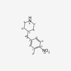 Cc1cc(SC2CCNCC2)ccc1[N+](=O)[O-]